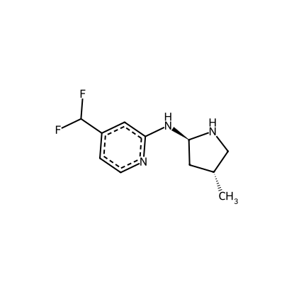 C[C@H]1CN[C@H](Nc2cc(C(F)F)ccn2)C1